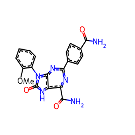 COc1ccccc1-n1c(=O)[nH]c2c(C(N)=O)nc(-c3ccc(C(N)=O)cc3)nc21